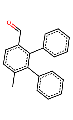 Cc1ccc(C=O)c(-c2ccccc2)c1-c1ccccc1